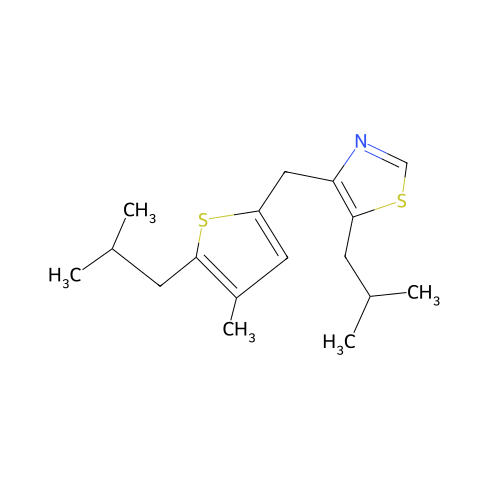 Cc1cc(Cc2ncsc2CC(C)C)sc1CC(C)C